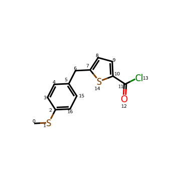 CSc1ccc(Cc2ccc(C(=O)Cl)s2)cc1